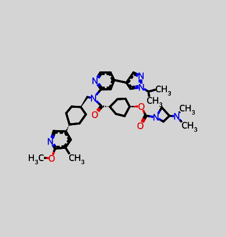 COc1ncc([C@H]2CC[C@H](CN(c3cc(-c4cnn(C(C)C)c4)ccn3)C(=O)[C@H]3CC[C@H](OC(=O)N4CC(N(C)C)C4)CC3)CC2)cc1C